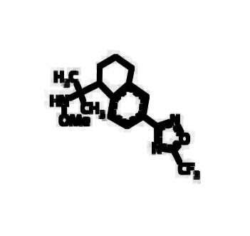 CONC(C)(C)C1CCCc2cc(-c3noc(C(F)(F)F)n3)ccc21